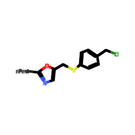 CCCCCc1ncc(CSc2ccc(CCl)cc2)o1